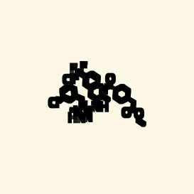 CCOC(=O)C[C@H]1CC[C@H](C(=O)N2c3ccc(C(F)(F)F)cc3CC(NC3=NNN(C)N3Cc3cc(Cl)cc(Cl)c3)C2C)CC1